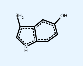 Bc1c[nH]c2ccc(O)cc12